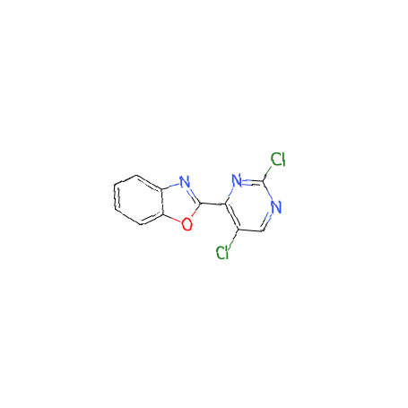 Clc1ncc(Cl)c(-c2nc3ccccc3o2)n1